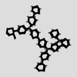 CC1C=CCCC1c1ccc(N(C2=CCC(C3C=CC(N(C4=CCC(C5=CCCC=C5)C=C4)c4ccc5c6ccccc6n(C6=CCCC=C6)c5c4)=CC3)C=C2)C2C=CC(C3C=CC=CC3)CC2)cc1